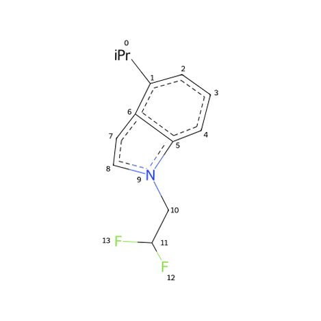 CC(C)c1cccc2c1ccn2CC(F)F